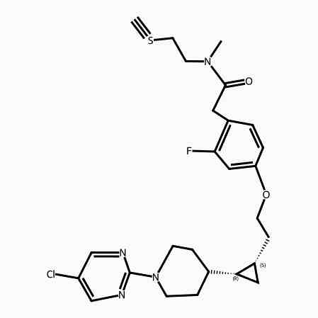 C#SCCN(C)C(=O)Cc1ccc(OCC[C@@H]2C[C@@H]2C2CCN(c3ncc(Cl)cn3)CC2)cc1F